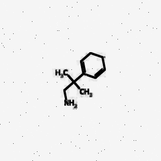 CC(C)(CN)C1=CC[CH]C=C1